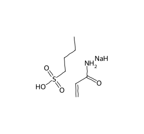 C=CC(N)=O.CCCCS(=O)(=O)O.[NaH]